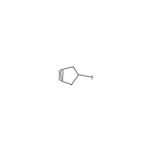 IC1CC#CC1